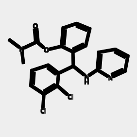 CN(C)C(=O)Oc1ccccc1C(Nc1ccccn1)c1cccc(Cl)c1Cl